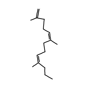 [CH]=C(C)CCC=C(C)CCC=C(C)CCC